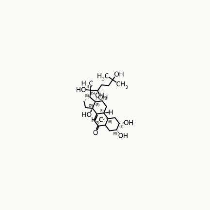 CC(C)(O)CCC(O)[C@@](C)(O)[C@H]1CC[C@@]2(O)C3=CC(=O)C4C[C@@H](O)[C@@H](O)C[C@]4(C)[C@H]3CC[C@]12C